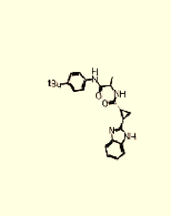 CC(NC(=O)[C@@H]1C[C@H]1c1nc2ccccc2[nH]1)C(=O)Nc1ccc(C(C)(C)C)cc1